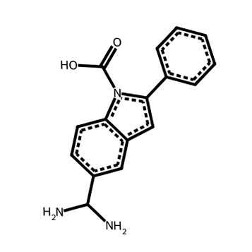 NC(N)c1ccc2c(c1)cc(-c1ccccc1)n2C(=O)O